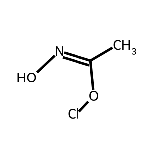 CC(=NO)OCl